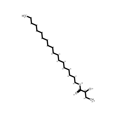 CCCCCCCCCCCCCCCCCCCOC(=O)C(Cl)CC